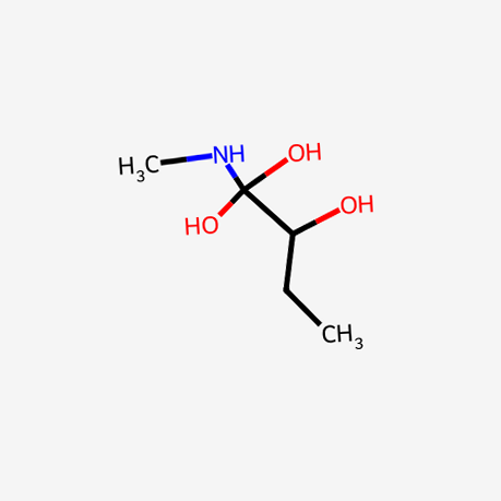 CCC(O)C(O)(O)NC